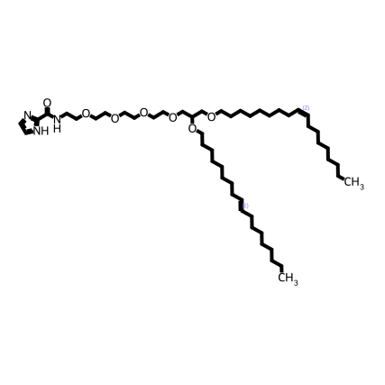 CCCCCCCC/C=C\CCCCCCCCOCC(COCCOCCOCCOCCNC(=O)c1ncc[nH]1)OCCCCCCCC/C=C/CCCCCCCC